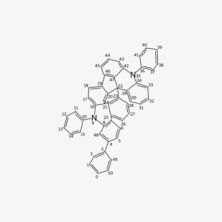 c1ccc(-c2cccc(N(c3ccccc3)c3ccc4c(c3)C3(c5ccccc5)c5ccccc5N(c5ccccc5)c5cccc-4c53)c2)cc1